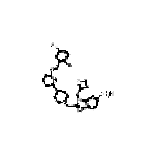 CC(=O)c1ccc(F)c(COc2cccc(C3CCN(Cc4nc5ccc(C(=O)O)cc5n4CC4CCO4)CC3)n2)c1